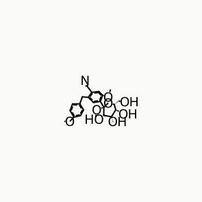 COc1ccc(Cc2cc([C@]3(OC)O[C@H](CO)[C@@H](O)[C@H](O)[C@H]3O)c(OC)cc2C#N)cc1